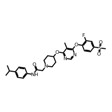 Cc1c(Oc2ccc(S(C)(=O)=O)cc2F)ncnc1OC1CCN(CC(=O)Nc2ccc(C(C)C)cc2)CC1